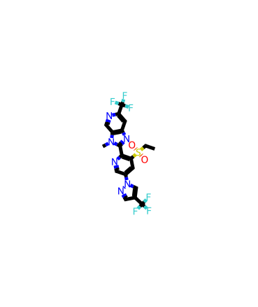 CCS(=O)(=O)c1cc(-n2cc(C(F)(F)F)cn2)cnc1-c1nc2cc(C(F)(F)F)ncc2n1C